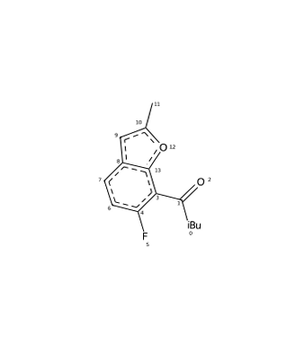 CCC(C)C(=O)c1c(F)ccc2cc(C)oc12